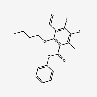 CCCCOc1c(C=O)c(F)c(F)c(C)c1C(=O)Oc1ccccc1